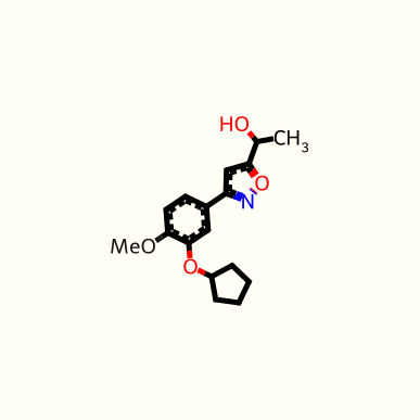 COc1ccc(-c2cc(C(C)O)on2)cc1OC1CCCC1